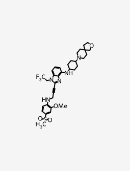 COc1cc(S(C)(=O)=O)ccc1NCC#Cc1nc2c(NC3CCC(N4CCC5(CCOC5)CC4)CC3)cccc2n1CC(F)(F)F